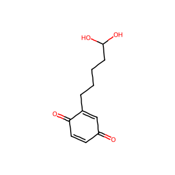 O=C1C=CC(=O)C(CCCCC(O)O)=C1